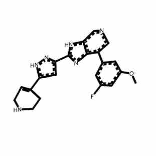 COc1cc(F)cc(-c2cncc3[nH]c(-c4cc(C5=CCNCC5)[nH]n4)nc23)c1